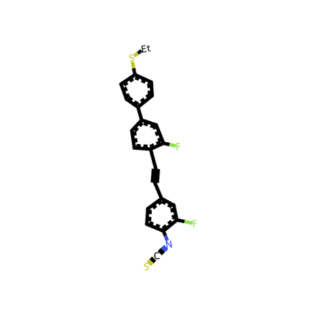 CCSc1ccc(-c2ccc(C#Cc3ccc(N=C=S)c(F)c3)c(F)c2)cc1